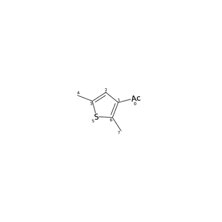 CC(=O)c1cc(C)sc1C